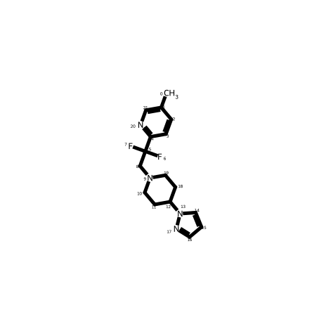 Cc1ccc(C(F)(F)CN2CCC(n3cccn3)CC2)nc1